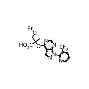 CCOC[C@](C)(Oc1ncnc2c1cnn2-c1ncccc1C(F)(F)F)C(=O)O